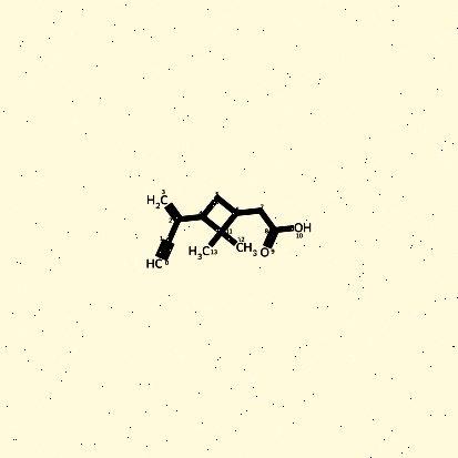 C#CC(=C)C1CC(CC(=O)O)C1(C)C